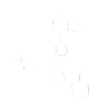 Cc1cccc(N2CC[C@H]([C@H](CC#N)n3cc(-c4ncnc5[nH]ccc45)cn3)C2)c1C#N.O=C(O)C(F)(F)F